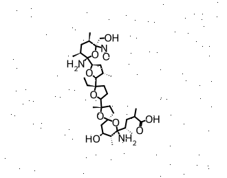 CC[C@@]1(C2O[C@@H]([C@@]3(N)O[C@](CO)(N=O)[C@H](C)C[C@@H]3C)C[C@@H]2C)CCC([C@]2(C)CC[C@]3(C[C@H](O)[C@@H](C)[C@@](N)([C@@H](C)CC(C)C(=O)O)O3)O2)O1